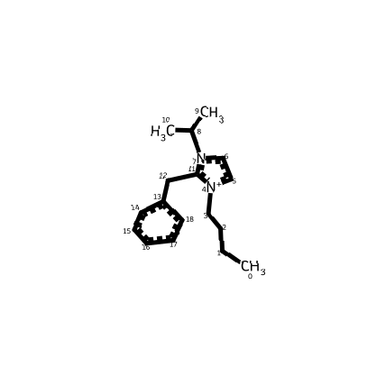 CCCC[n+]1ccn(C(C)C)c1Cc1ccccc1